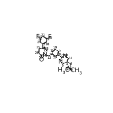 CN(C)Cc1cnc(-c2cccc(Cn3nc(-c4cc(F)cc(F)c4)ccc3=O)c2)nc1